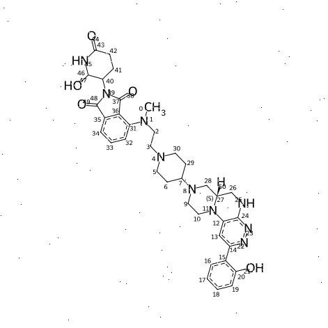 CN(CCN1CCC(N2CCN3c4cc(-c5ccccc5O)nnc4NC[C@H]3C2)CC1)c1cccc2c1C(=O)N(C1CCC(=O)NC1O)C2=O